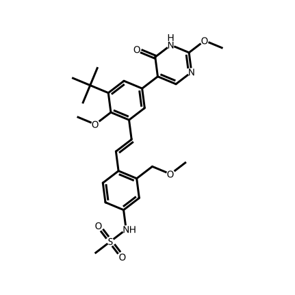 COCc1cc(NS(C)(=O)=O)ccc1C=Cc1cc(-c2cnc(OC)[nH]c2=O)cc(C(C)(C)C)c1OC